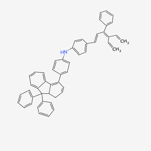 C=CC(C=C)=C(/C=C/c1ccc(Nc2ccc(C3=C4c5ccccc5C(c5ccccc5)(c5ccccc5)C4CC=C3)cc2)cc1)c1ccccc1